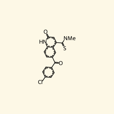 CNC(=S)c1cc(=O)[nH]c2ccc(C(=O)c3ccc(Cl)cc3)cc12